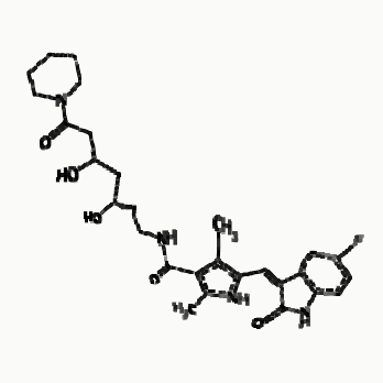 Cc1[nH]c(/C=C2\C(=O)Nc3ccc(F)cc32)c(C)c1C(=O)NCCC(O)CC(O)CC(=O)N1CCCCC1